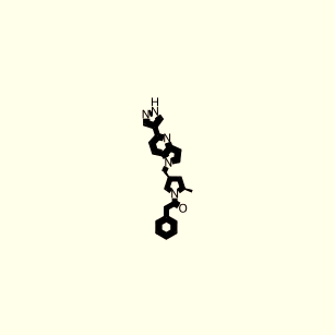 C[C@@H]1C[C@H](Cn2ccc3nc(-c4cn[nH]c4)ccc32)CN1C(=O)Cc1ccccc1